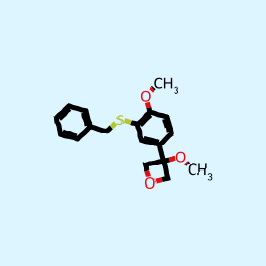 COc1ccc(C2(OC)COC2)cc1SCc1ccccc1